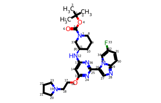 CC(C)(C)OC(=O)N1CCC[C@@H](Nc2cc(OCCN3CCCC3)nc(-c3cnc4ccc(F)cn34)n2)C1